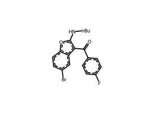 CCCCNc1oc2ccc(Br)cc2c1C(=O)c1ccc(F)cc1